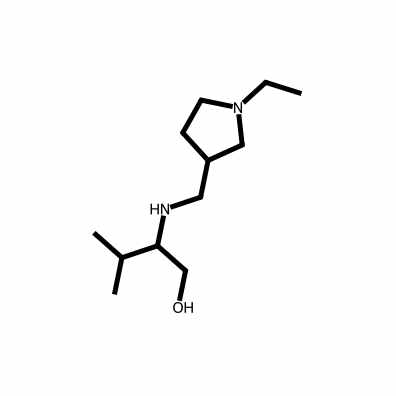 CCN1CCC(CNC(CO)C(C)C)C1